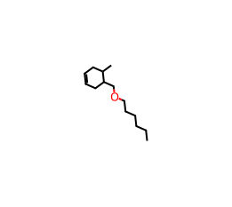 CCCCCCOCC1CC=CCC1C